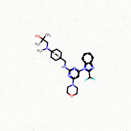 CN(CC(C)(C)O)C12CCC(CNc3nc(N4CCOCC4)cc(-n4c(C(F)F)nc5ccccc54)n3)(CC1)CC2